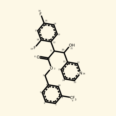 O=C(OCc1cccc(C(F)(F)F)c1)C(c1ccc(F)cc1F)C(O)c1cccnc1